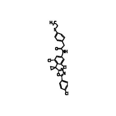 CCSc1ccc(CC(=O)Nc2cc(Cl)c(C3(c4nnc(-c5ccc(Cl)cc5)o4)CC3)c(Cl)c2)cc1